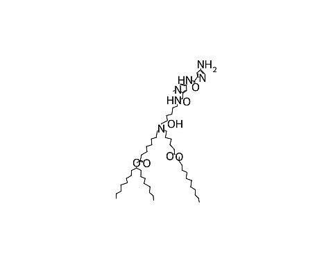 CCCCCCCCCCCOC(=O)CCCCCN(CCCCCCCC(=O)OC(CCCCCCCC)CCCCCCCC)CC(O)CCCCNC(=O)c1cc(NC(=O)c2cc(N)cn2C)cn1C